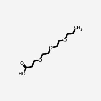 CCCOCCOCCOCCC(=O)O